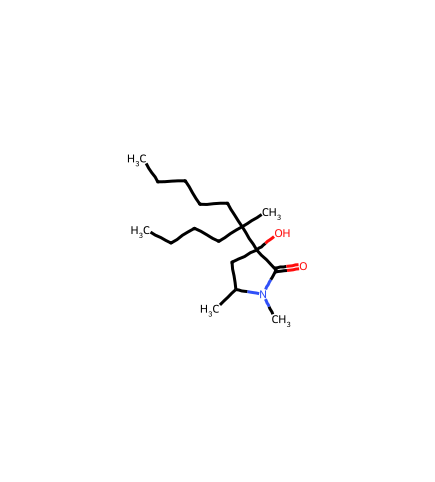 CCCCCC(C)(CCCC)C1(O)CC(C)N(C)C1=O